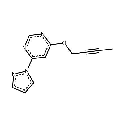 CC#CCOc1cc(-n2cccn2)ncn1